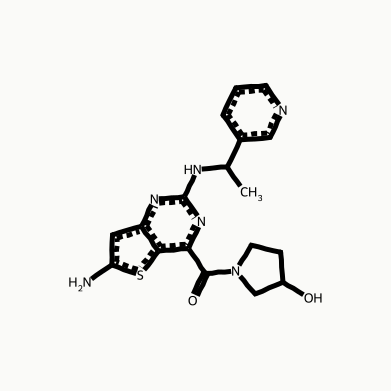 CC(Nc1nc(C(=O)N2CCC(O)C2)c2sc(N)cc2n1)c1cccnc1